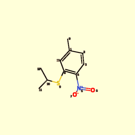 Cc1ccc([N+](=O)[O-])c(SC(C)C)c1